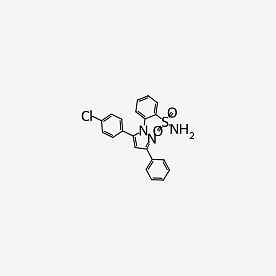 NS(=O)(=O)c1ccccc1-n1nc(-c2ccccc2)cc1-c1ccc(Cl)cc1